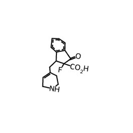 O=C(O)C1(F)C(=O)c2ccccc2C1CC1=CCNCC1